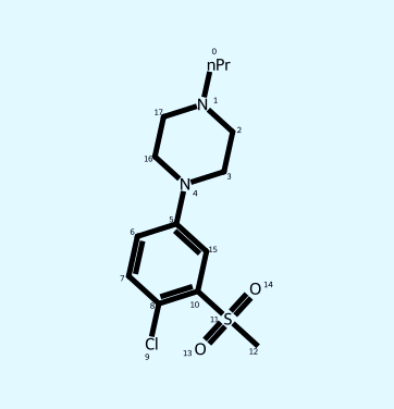 CCCN1CCN(c2ccc(Cl)c(S(C)(=O)=O)c2)CC1